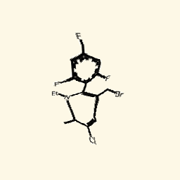 CCN1C(c2c(F)cc(F)cc2F)=C(CBr)C=C(Cl)C1C